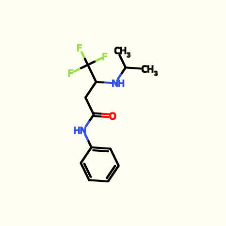 CC(C)NC(CC(=O)Nc1ccccc1)C(F)(F)F